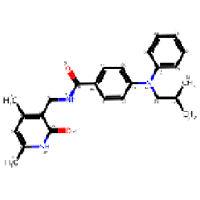 Cc1cc(C)c(CNC(=O)c2ccc(N(CC(C)C)c3ccccc3)cc2)c(=O)[nH]1